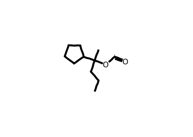 CCCC(C)(O[C]=O)C1CCCC1